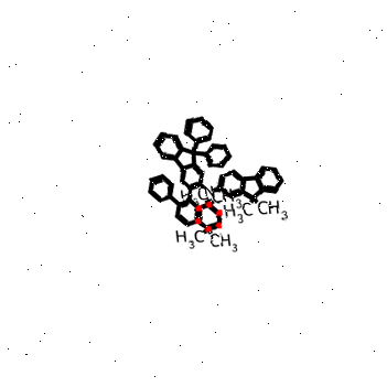 CC1(C)CCC(C)(C)c2c1ccc(-c1ccccc1)c2-c1cc2c(cc1N(c1ccccc1)c1ccc3c(c1)C(C)(C)c1ccccc1-3)C(c1ccccc1)(c1ccccc1)c1ccccc1-2